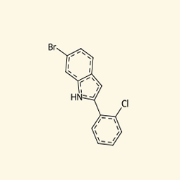 Clc1ccccc1-c1cc2ccc(Br)cc2[nH]1